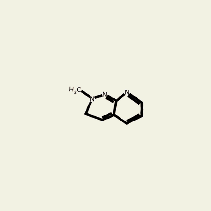 CN1CC=c2cccnc2=N1